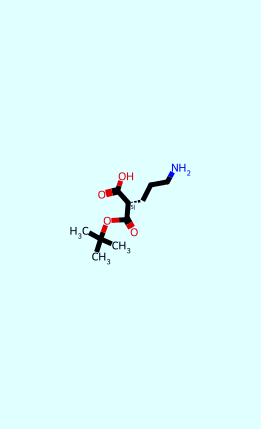 CC(C)(C)OC(=O)[C@@H](CCCN)C(=O)O